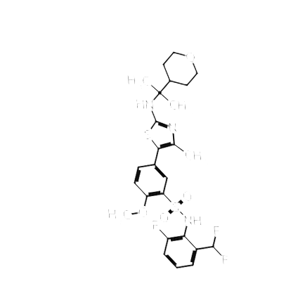 COc1ccc(-c2sc(NC(C)(C)C3CCOCC3)nc2C)cc1S(=O)(=O)Nc1c(F)cccc1C(F)F